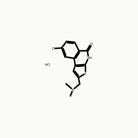 CN(C)Cc1cc2c([nH]c(=O)c3ccc(Cl)cc32)s1.Cl